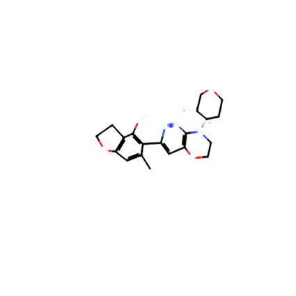 Cc1cc2c(c(O)c1-c1cc3c(nn1)N([C@@H]1CCOC[C@H]1O)CCO3)CCO2